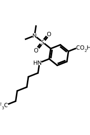 CN(C)S(=O)(=O)c1cc(C(=O)O)ccc1NCCCCCC(F)(F)F